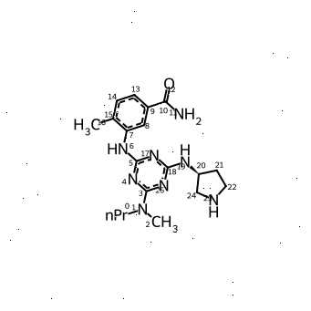 CCCN(C)c1nc(Nc2cc(C(N)=O)ccc2C)nc(N[C@H]2CCNC2)n1